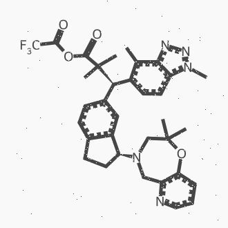 Cc1c([C@@H](c2ccc3c(c2)[C@@H](N2Cc4ncccc4OC(C)(C)C2)CC3)C(C)(C)C(=O)OC(=O)C(F)(F)F)ccc2c1nnn2C